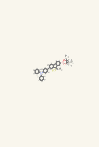 CC1(S)c2cc(B3OC(C)(C)C(C)(C)O3)ccc2-c2ccc(-c3ccc(N(c4ccccc4)c4ccccc4)cc3)cc21